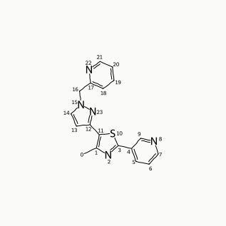 Cc1nc(-c2cccnc2)sc1-c1ccn(Cc2ccccn2)n1